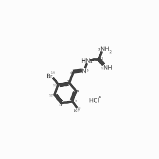 Cl.N=C(N)NN=Cc1cc(F)ccc1Br